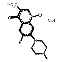 CCn1cc(C(=O)O)c(=O)c2cc(F)c(N3CCN(C)CC3)cc21.[NaH]